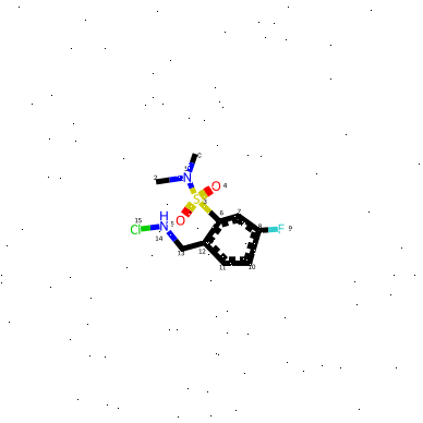 CN(C)S(=O)(=O)c1cc(F)ccc1CNCl